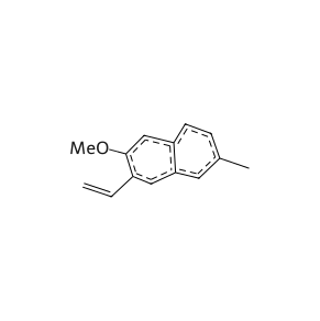 C=Cc1cc2cc(C)ccc2cc1OC